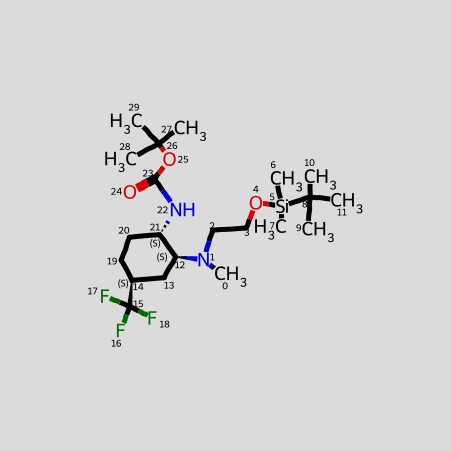 CN(CCO[Si](C)(C)C(C)(C)C)[C@H]1C[C@@H](C(F)(F)F)CC[C@@H]1NC(=O)OC(C)(C)C